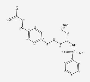 CCC(NS(=O)(=O)c1ccccc1)SCCc1ccc(OCC(=O)[O-])cc1.[Na+]